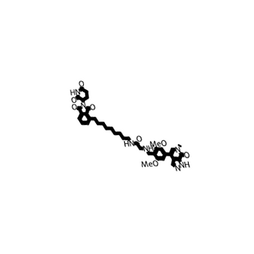 COc1cc(-c2cn(C)c(=O)c3[nH]ncc23)cc(OC)c1CNCC(=O)NCCCCCCCCCc1cccc2c1C(=O)N(C1CCC(=O)NC1=O)C2=O